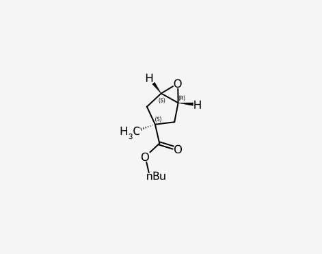 CCCCOC(=O)[C@@]1(C)C[C@@H]2O[C@@H]2C1